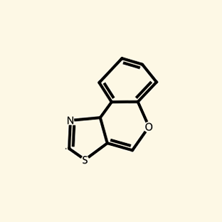 [C]1=NC2C(=COc3ccccc32)S1